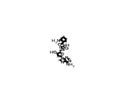 Nc1ccccc1C(=O)NS(=O)(=O)OC[C@H]1O[C@@H](n2cnc3c(N)ncnc32)C[C@@H]1O